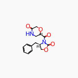 O=C1CO[C@@H](C(=O)N2C(=O)OC[C@H]2Cc2ccccc2)CN1